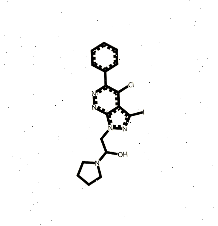 OC(Cn1nc(I)c2c(Cl)c(-c3ccccc3)nnc21)N1CCCC1